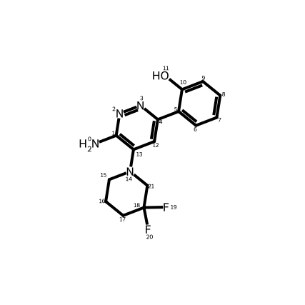 Nc1nnc(-c2ccccc2O)cc1N1CCCC(F)(F)C1